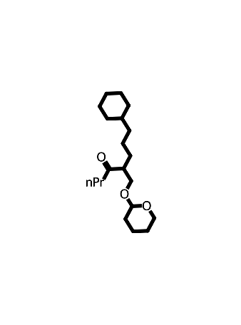 CCCC(=O)C(CCCC1CCCCC1)COC1CCCCO1